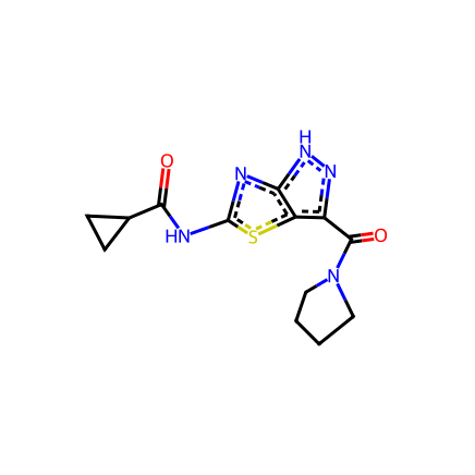 O=C(Nc1nc2[nH]nc(C(=O)N3CCCC3)c2s1)C1CC1